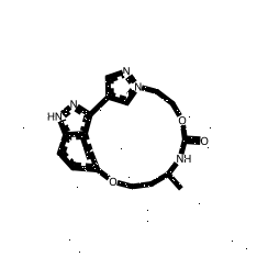 CC1CCOc2ccc3[nH]nc(c3c2)-c2cnn(c2)CCOC(=O)N1